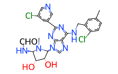 Cc1ccc(Cl)c(CNc2nc(-c3cncc(Cl)c3)nc3c2ncn3[C@H]2[C@H](O)[C@H](O)[C@@H](NC=O)N2C)c1